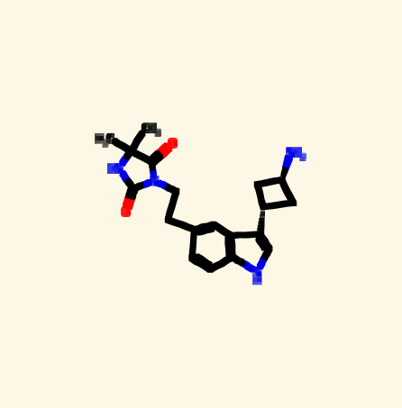 CC1(C)NC(=O)N(CCc2ccc3[nH]cc([C@H]4C[C@H](N)C4)c3c2)C1=O